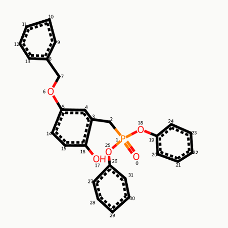 O=P(Cc1cc(OCc2ccccc2)ccc1O)(Oc1ccccc1)Oc1ccccc1